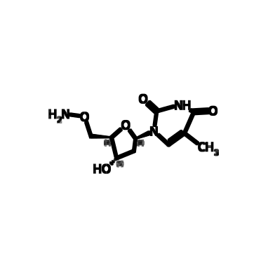 Cc1cn([C@H]2C[C@H](O)[C@@H](CON)O2)c(=O)[nH]c1=O